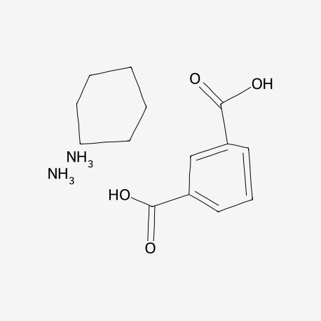 C1CCCCC1.N.N.O=C(O)c1cccc(C(=O)O)c1